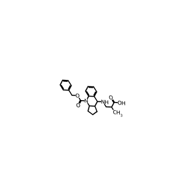 CC(CNC1c2ccccc2N(C(=O)OCc2ccccc2)C2CCCC12)C(=O)O